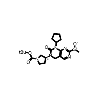 C[S+]([O-])c1ncc2c(n1)N(C1CCCC1)C(=O)N([C@H]1CCN(C(=O)OC(C)(C)C)C1)C2